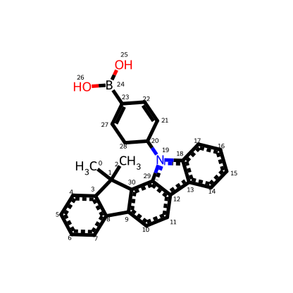 CC1(C)c2ccccc2-c2ccc3c4ccccc4n(C4C=CC(B(O)O)=CC4)c3c21